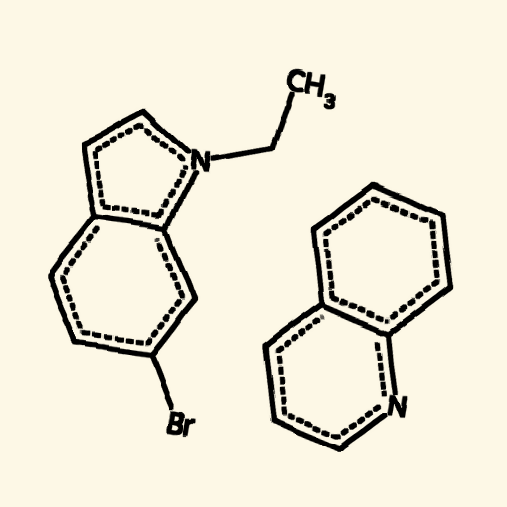 CCn1ccc2ccc(Br)cc21.c1ccc2ncccc2c1